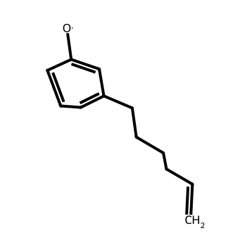 C=CCCCCc1cccc([O])c1